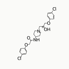 O=C(COc1ccc(Cl)cc1)NC1CCN(C[C@@H](O)COc2ccc(Cl)cc2)CC1